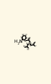 CC(C)CN(CC(C)C)CC(C)C.NC1CCCCC1